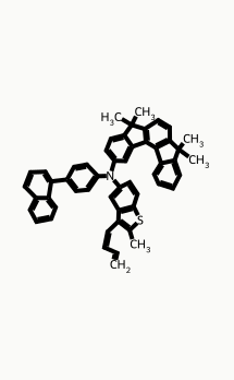 C=C/C=C\c1c(C)sc2ccc(N(c3ccc(-c4cccc5ccccc45)cc3)c3ccc4c(c3)-c3c(ccc5c3-c3ccccc3C5(C)C)C4(C)C)cc12